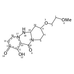 COCCOC1CCN2C(=O)c3c(O)c(=O)ccn3NC2C1